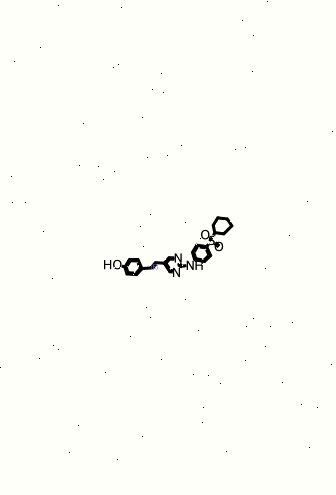 O=S(=O)(c1ccc(Nc2ncc(/C=C/c3ccc(O)cc3)cn2)cc1)C1CCCCC1